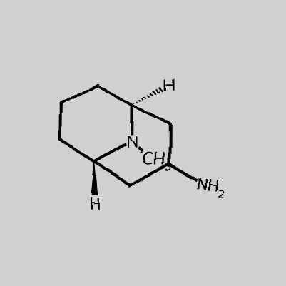 CN1[C@H]2CCC[C@H]1CC(N)C2